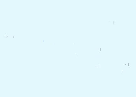 CCCCCCCCC/C=C/C=C/C=C/C=C/C=C/C(=O)OC(/C=C(\C)CCC=C(C)C)C/C=C(\C)CCC=C(C)C